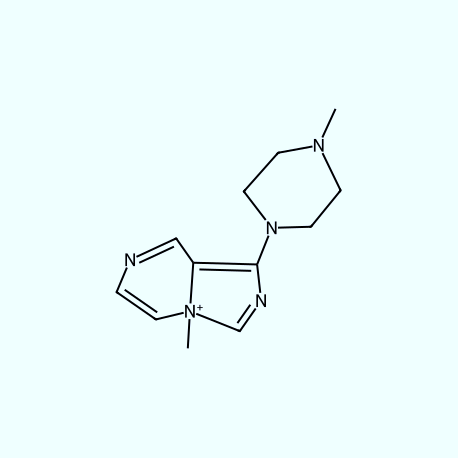 CN1CCN(C2=C3C=NC=C[N+]3(C)C=N2)CC1